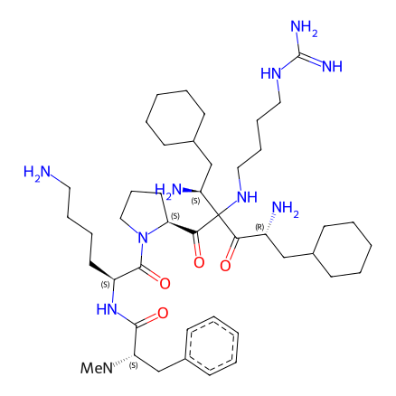 CN[C@@H](Cc1ccccc1)C(=O)N[C@@H](CCCCN)C(=O)N1CCC[C@H]1C(=O)C(NCCCCNC(=N)N)(C(=O)[C@H](N)CC1CCCCC1)[C@@H](N)CC1CCCCC1